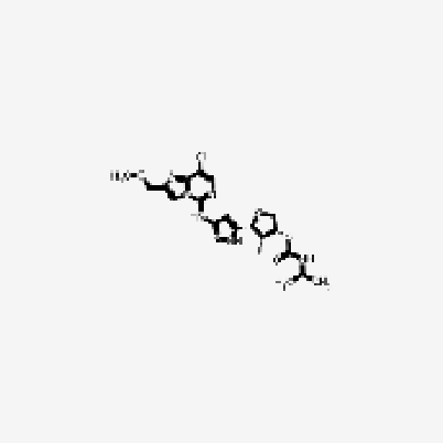 COCc1cn2c(Nc3cc([C@@H]4OC[C@H](OC(=O)NC(C)C)[C@@H]4F)[nH]n3)ncc(Cl)c2n1